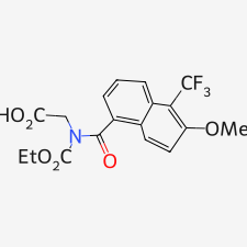 CCOC(=O)N(CC(=O)O)C(=O)c1cccc2c(C(F)(F)F)c(OC)ccc12